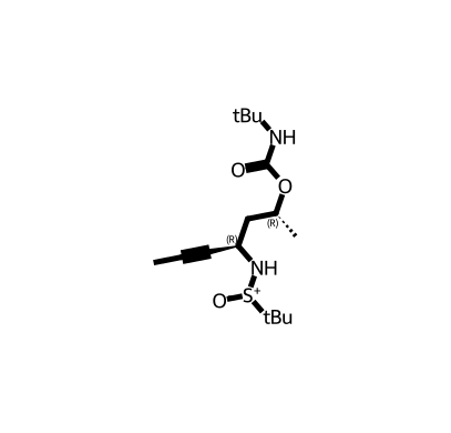 CC#C[C@@H](C[C@@H](C)OC(=O)NC(C)(C)C)N[S+]([O-])C(C)(C)C